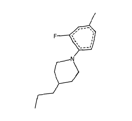 CCCC1CCN(c2ccc(C)cc2F)CC1